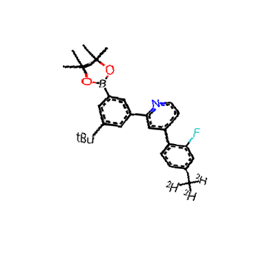 [2H]C([2H])([2H])c1ccc(-c2ccnc(-c3cc(B4OC(C)(C)C(C)(C)O4)cc(C(C)(C)C)c3)c2)c(F)c1